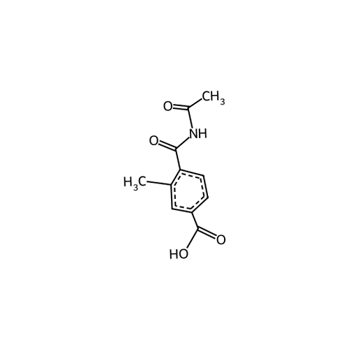 CC(=O)NC(=O)c1ccc(C(=O)O)cc1C